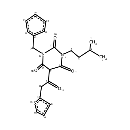 CC(C)CCN1C(=O)C(C(=O)Cc2cccs2)C(=O)N(Cc2ccccc2)C1=O